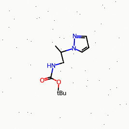 CC(CNC(=O)OC(C)(C)C)n1cccn1